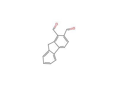 O=Cc1ccc2c(c1C=O)Cc1ccccc1-2